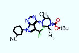 CC1CN(c2ncnc3c2c(C(F)F)cn3C2CCCC(C#N)C2)C(C)CN1C(=O)OC(C)(C)C